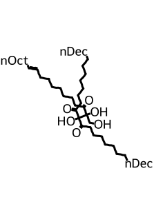 CCCCCCCCC=CCCCCCCCC(=O)C(O)(CO)C(O)(C(=O)CCCCCCCCCCCCCCCCC)C(=O)CCCCCCCCCCCCCCCCC